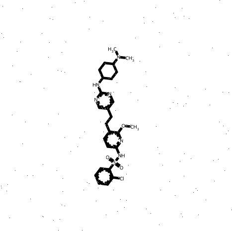 COc1nc(NS(=O)(=O)c2ccccc2Cl)ccc1CCc1cnc(NC2CCC(N(C)C)CC2)nc1